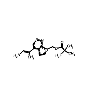 C/C(=C\N)c1cnnc2c1ccn2COC(=O)C(C)(C)C